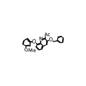 COc1cccc(Oc2cccc3cc(OCc4ccccc4)c(C(C)=O)nc23)c1